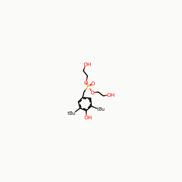 CC(C)(C)c1cc(CP(=O)(OCCO)OCCO)cc(C(C)(C)C)c1O